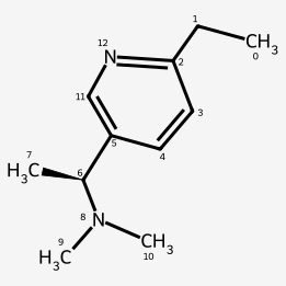 CCc1ccc([C@H](C)N(C)C)cn1